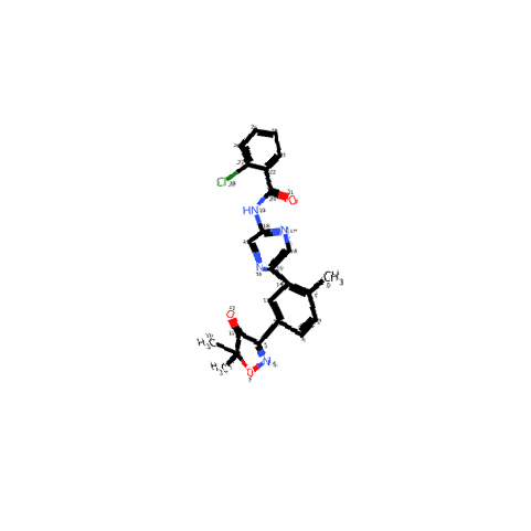 Cc1ccc(C2=NOC(C)(C)C2=O)cc1-c1cnc(NC(=O)c2ccccc2Cl)cn1